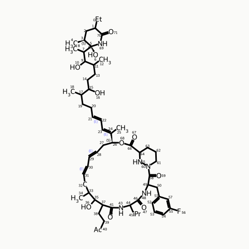 CCC1C[C@H](C)[C@@](O)(C(C)C(O)C(C)CCC(O)C(C)CC/C=C/C=C(\C)[C@@H]2C/C=C/C=C/CC(C)C(O)C(CCC(C)=O)C(=O)NC(C(C)C)C(=O)NC(Cc3cccc(F)c3)C(=O)N3CCCC(N3)C(=O)O2)NC1=O